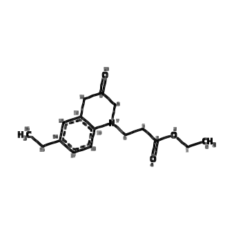 CCOC(=O)CCN1CC(=O)Cc2cc(CC)ccc21